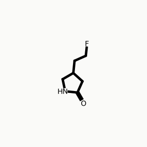 O=C1CC(CCF)CN1